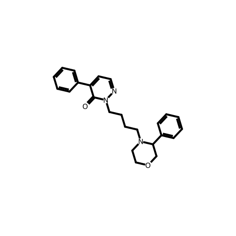 O=c1c(-c2ccccc2)ccnn1CCCCN1CCOCC1c1ccccc1